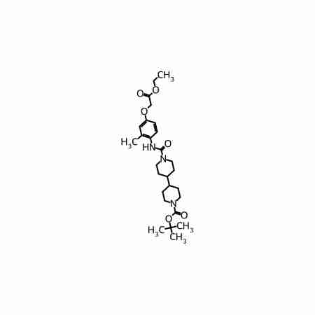 CCOC(=O)COc1ccc(NC(=O)N2CCC(C3CCN(C(=O)OC(C)(C)C)CC3)CC2)c(C)c1